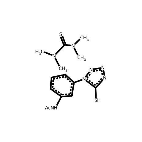 CC(=O)Nc1cccc(-n2nnnc2S)c1.CN(C)C(=S)N(C)C